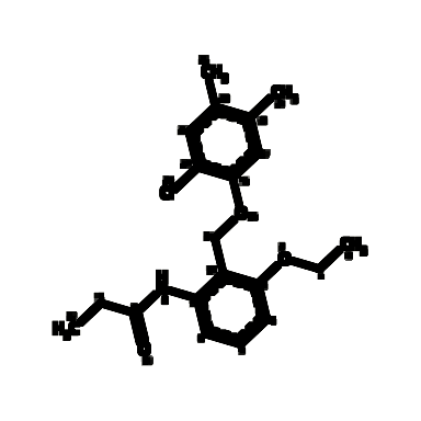 CCOc1cccc(NC(=O)CC)c1COc1cc(C)c(C)cc1Cl